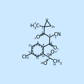 CC1(C(=O)C(C#N)C(=O)c2ccc(Cl)cc2S(C)(=O)=O)CC1